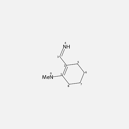 CNC1=C(C=N)CCCC1